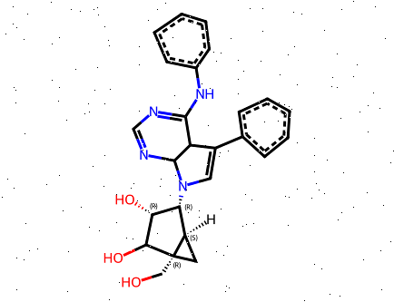 OC[C@@]12C[C@@H]1[C@@H](N1C=C(c3ccccc3)C3C(Nc4ccccc4)=NC=NC31)[C@@H](O)C2O